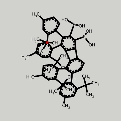 Cc1ccc(-c2ccc3c(c2-c2ccc(C)cc2C(C)(C)C)-c2c(-c4ccc(C)cc4C(C)(C)C)c(-c4ccc(C)cc4C(C)(C)C)c(P(O)O)c(P(O)O)c2-3)c(C(C)(C)C)c1